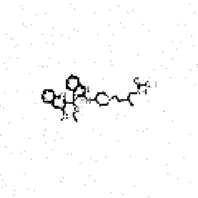 CCOC(c1nc2ccccc2cc1OC)n1c(NC2CCN(CCC(C)CNC(=O)O)CC2)nc2ccccc21